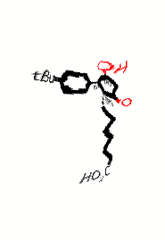 CC(C)(C)c1ccc([C@H]2[C@H](O)CC(=O)[C@@H]2CCCCCCC(=O)O)cc1